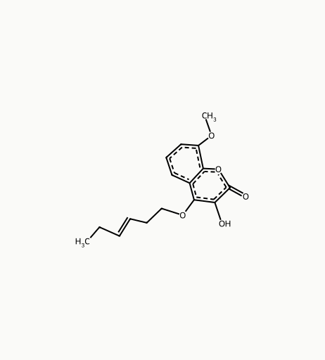 CCC=CCCOc1c(O)c(=O)oc2c(OC)cccc12